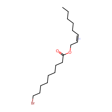 CCCCC/C=C\COC(=O)CCCCCCCCBr